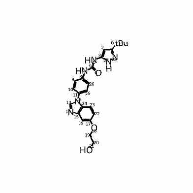 CC(C)(C)c1cc(NC(=O)Nc2ccc(-n3cnc4cc(OCCO)ccc43)cc2)[nH]n1